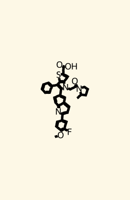 COc1ccc(-c2ccc3cc(-c4c(-c5ccccc5)c5sc(C(=O)O)cc5n4CC(=O)N4CCCC4C)ccc3n2)cc1F